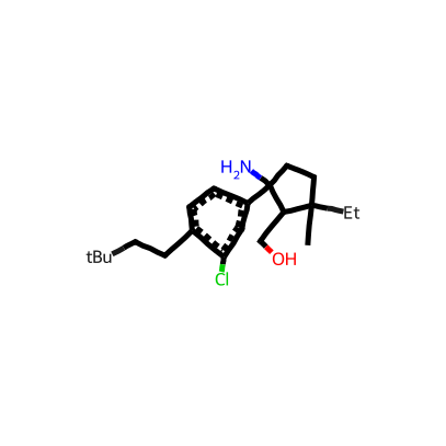 CCC1(C)CCC(N)(c2ccc(CCC(C)(C)C)c(Cl)c2)C1CO